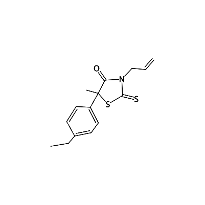 C=CCN1C(=O)C(C)(c2ccc(CC)cc2)SC1=S